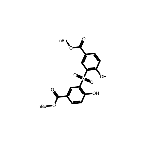 CCCCOC(=O)c1ccc(O)c(S(=O)(=O)c2cc(C(=O)OCCCC)ccc2O)c1